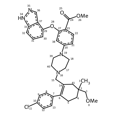 COCC1(C)CCC(c2ccc(Cl)cc2)=C(CN2CCN(c3ccc(C(=O)OC)c(Oc4cccc5[nH]ncc45)c3)CC2)C1